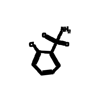 NS(=O)(=O)c1c[c]ccc1Cl